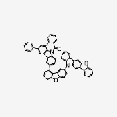 O=c1c2ccccc2c2cc(-c3ccccc3)cc3c4cc(-c5cccc6oc7ccc(-n8c9ccccc9c9cc%10oc%11ccccc%11c%10cc98)cc7c56)ccc4n1c23